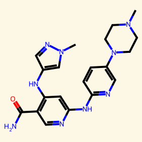 CN1CCN(c2ccc(Nc3cc(Nc4cnn(C)c4)c(C(N)=O)cn3)nc2)CC1